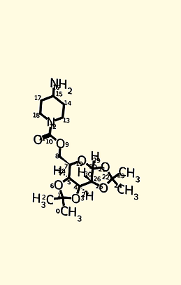 CC1(C)O[C@H]2[C@@H](O1)[C@@H](COC(=O)N1CCC(N)CC1)O[C@@H]1OC(C)(C)O[C@@H]12